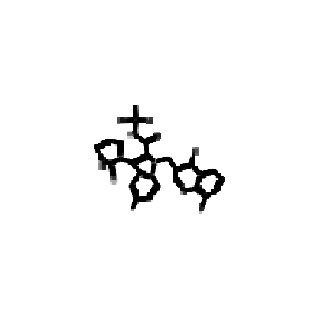 Cc1ccc2c(c1)c(-c1ccc[nH]c1=O)c(C(=O)NS(C)(=O)=O)n2Cc1cnc2c(F)cccc2c1Cl